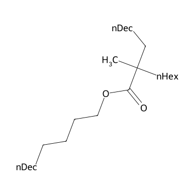 CCCCCCCCCCCCCCOC(=O)C(C)(CCCCCC)CCCCCCCCCCC